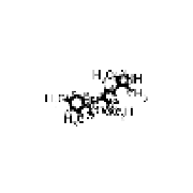 COP(=O)(Nc1cc(-c2c(C)n[nH]c2C)sc1C(=O)O)c1ccc(C)cc1C